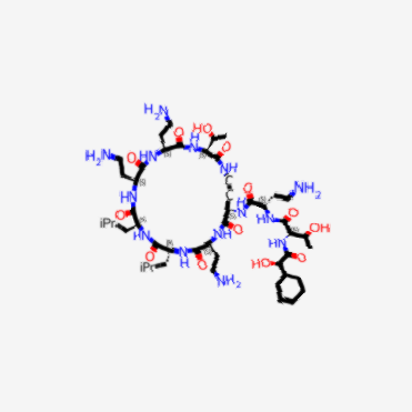 CC(C)C[C@@H]1NC(=O)[C@@H](CC(C)C)NC(=O)[C@H](CCN)NC(=O)[C@@H](NC(=O)[C@H](CCN)NC(=O)[C@@H](NC(=O)C(O)C2CCCCC2)C(C)O)CCNC(=O)[C@H](C(C)O)NC(=O)[C@H](CCN)NC(=O)[C@H](CCN)NC1=O